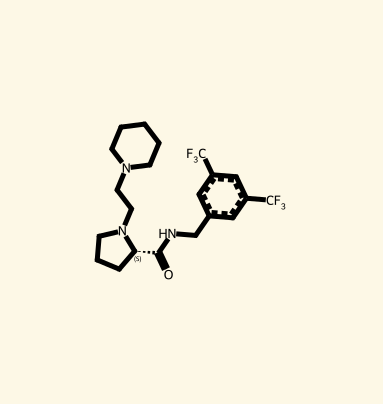 O=C(NCc1cc(C(F)(F)F)cc(C(F)(F)F)c1)[C@@H]1CCCN1CCN1CCCCC1